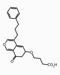 O=C(O)CCCOC1C=C2C(CCCc3ccccc3)=[C]OC=C2C(=O)C1